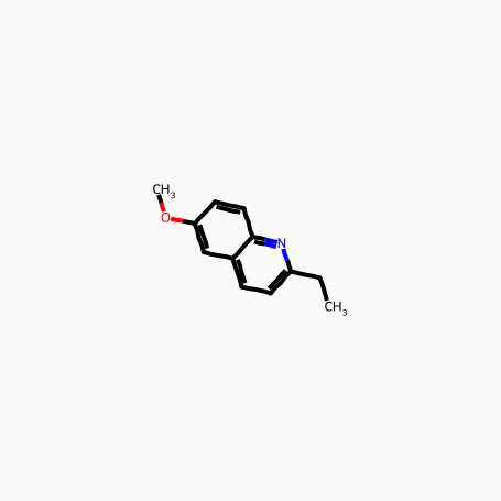 CCc1ccc2cc(OC)ccc2n1